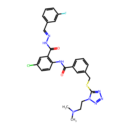 CN(C)CCn1nnnc1SCc1cccc(C(=O)Nc2ccc(Cl)cc2C(=O)NN=Cc2cccc(F)c2)c1